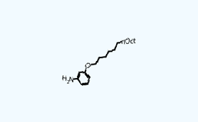 CCCCCCCCCCCCCCOc1cccc(N)c1